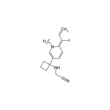 C=C/C(I)=C1/C=CC(C2(NCC#N)CCC2)=CN1C